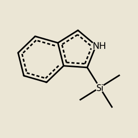 C[Si](C)(C)c1[nH]cc2ccccc12